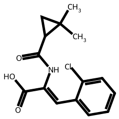 CC1(C)CC1C(=O)NC(=Cc1ccccc1Cl)C(=O)O